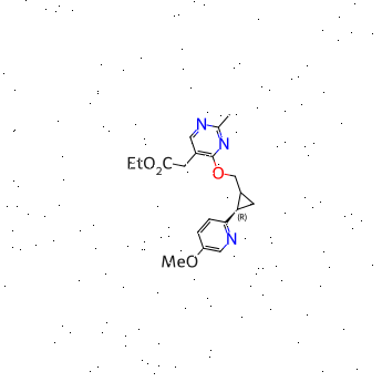 CCOC(=O)Cc1cnc(C)nc1OCC1C[C@H]1c1ccc(OC)cn1